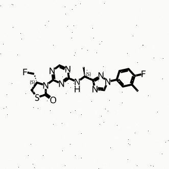 Cc1cc(-n2cnc([C@H](C)Nc3ncnc(N4C(=O)SC[C@@H]4CF)n3)n2)ccc1F